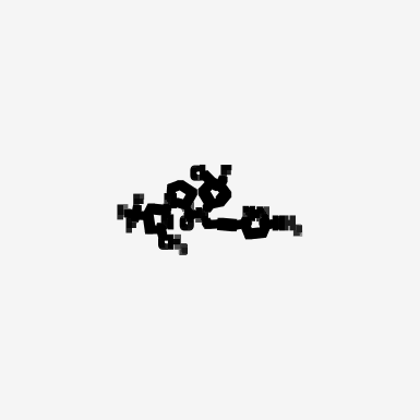 Cc1cc(C(F)(F)F)cc(N2CCC[C@H]2C(=O)N(CC#Cc2ccc(N)nn2)c2ccc(F)c(Cl)c2)n1